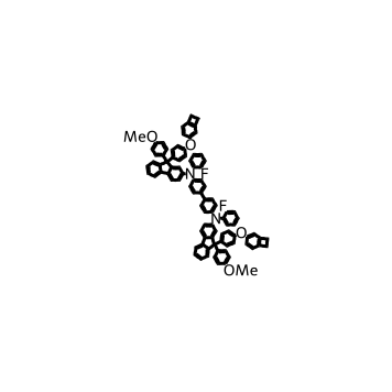 COc1ccc(C2(c3ccc(Oc4ccc5c(c4)CC5)cc3)c3ccccc3-c3ccc(N(c4ccc(-c5ccc(N(c6ccc7c(c6)C(c6ccc(OC)cc6)(c6ccc(Oc8ccc9c(c8)CC9)cc6)c6ccccc6-7)c6ccccc6F)cc5)cc4)c4ccccc4F)cc32)cc1